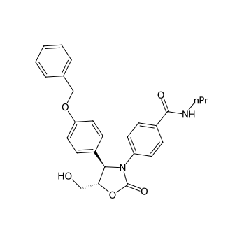 CCCNC(=O)c1ccc(N2C(=O)O[C@H](CO)[C@H]2c2ccc(OCc3ccccc3)cc2)cc1